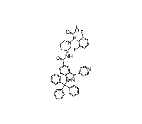 COC(=O)[C@H](c1c(F)cccc1F)N1CCC[C@@H](NC(=O)c2ccc3c(c2)c(-c2ccncc2)nn3C(c2ccccc2)(c2ccccc2)c2ccccc2)C1